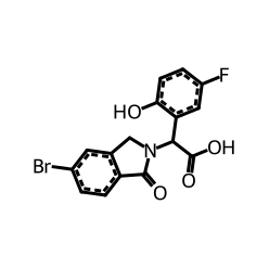 O=C(O)C(c1cc(F)ccc1O)N1Cc2cc(Br)ccc2C1=O